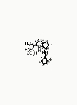 CC(CNC(=O)O)C(=O)Nc1c(Cl)ncnc1NCc1ncccc1F